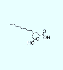 CCCCCCC=CC(CCC(=O)O)CC(=O)O